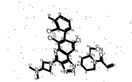 C=CC(=O)N1CC[C@H](n2nnc3c(N4CC(N(C)C)C4)nc4c(Cl)c(-c5cccc(C)c5Cl)c(Cl)cc4c32)C[C@H]1CC#N